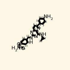 Nc1ccc(-c2ccc3nc(NCc4ccc(S(N)(=O)=O)cc4)nc(NC4CC4)c3n2)cc1